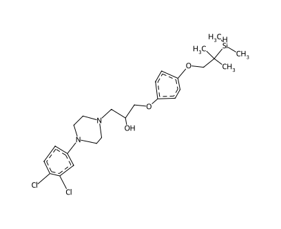 C[SiH](C)C(C)(C)COc1ccc(OCC(O)CN2CCN(c3ccc(Cl)c(Cl)c3)CC2)cc1